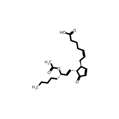 CCCCC[C@@H](/C=C/[C@H]1C(=O)C=C[C@@H]1C/C=C\CCCC(=O)O)OC(C)=O